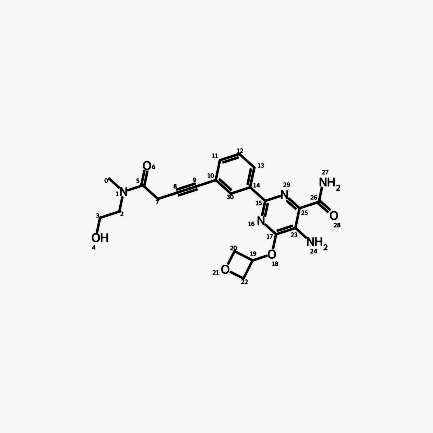 CN(CCO)C(=O)CC#Cc1cccc(-c2nc(OC3COC3)c(N)c(C(N)=O)n2)c1